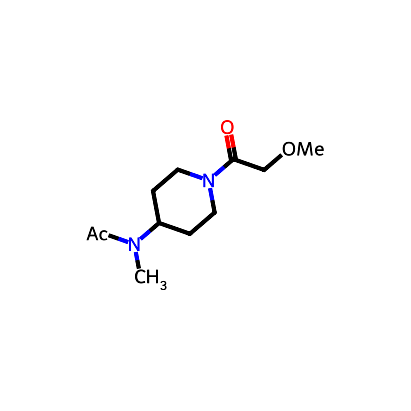 COCC(=O)N1CCC(N(C)C(C)=O)CC1